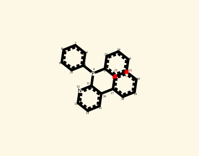 c1ccc(P(c2ccccc2)c2ncccc2-c2cccnc2)cc1